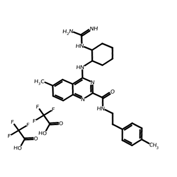 Cc1ccc(CCNC(=O)c2nc(NC3CCCCC3NC(=N)N)c3cc(C)ccc3n2)cc1.O=C(O)C(F)(F)F.O=C(O)C(F)(F)F